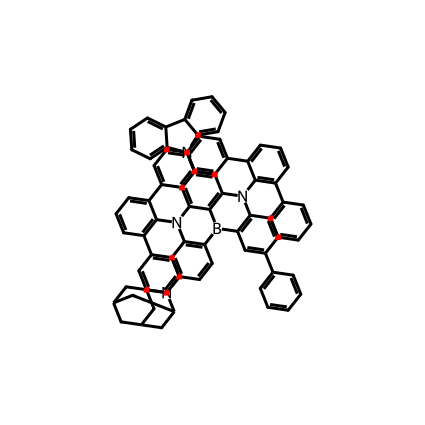 c1ccc(-c2ccc3c(c2)B2c4ccc(N5C6CC7CC(C6)CC5C7)cc4N(c4c(-c5ccccc5)cccc4-c4ccccc4)c4cc(-n5c6ccccc6c6ccccc65)cc(c42)N3c2c(-c3ccccc3)cccc2-c2ccccc2)cc1